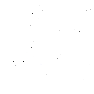 COCCOc1cc(N)c(Br)cc1Cl